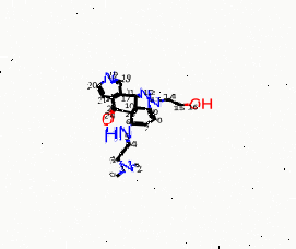 CN(C)CCNc1ccc2c3c(nn2CCO)-c2cnccc2C(=O)c13